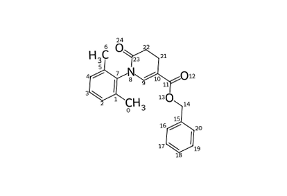 Cc1cccc(C)c1N1C=C(C(=O)OCc2ccccc2)CCC1=O